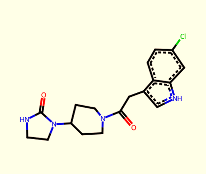 O=C(Cc1c[nH]c2cc(Cl)ccc12)N1CCC(N2CCNC2=O)CC1